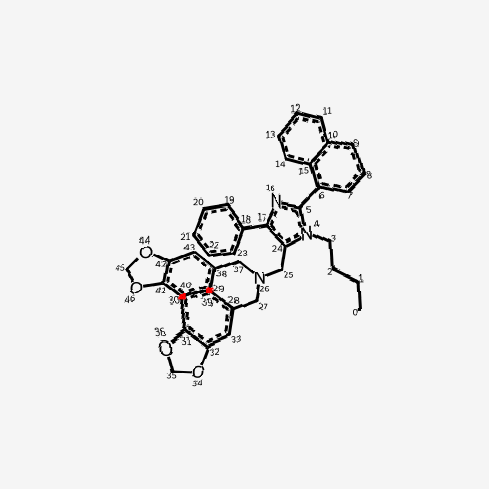 CCCCn1c(-c2cccc3ccccc23)nc(-c2ccccc2)c1CN(Cc1ccc2c(c1)OCO2)Cc1ccc2c(c1)OCO2